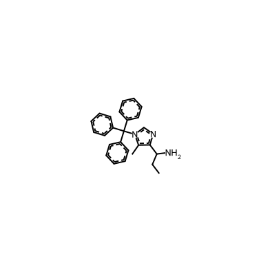 CCC(N)c1ncn(C(c2ccccc2)(c2ccccc2)c2ccccc2)c1C